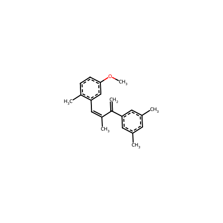 C=C(/C(C)=C\c1cc(OC)ccc1C)c1cc(C)cc(C)c1